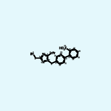 CCCc1nc(CC(C)C)nn1Cc1ccc(-c2ccccc2C(=O)O)nc1